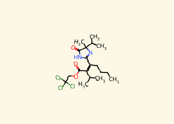 CCCC/C(C1=NC(C)(C(C)C)C(=O)N1)=C(/C(=O)OCC(Cl)(Cl)Cl)C(C)C